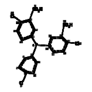 O=S(=O)(O)c1cc(P(c2ccc(Cl)cc2)c2ccc(Cl)c(S(=O)(=O)O)c2)ccc1Cl